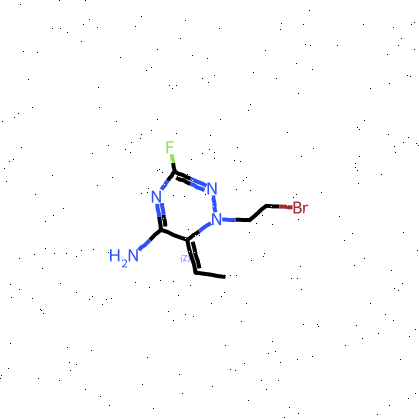 C/C=C1/C(N)=NC(F)=NN1CCBr